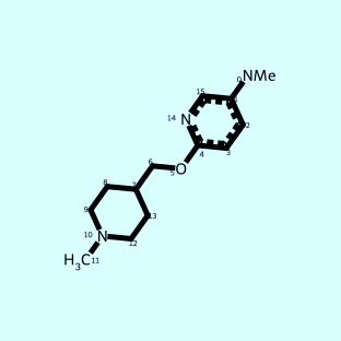 CNc1ccc(OCC2CCN(C)CC2)nc1